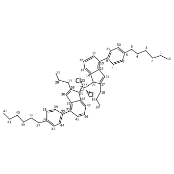 CCCCCCc1ccc(-c2cccc3c2C=C(CCC)[CH]3[Zr]([Cl])([Cl])[CH]2C(CCC)=Cc3c(-c4ccc(CCCCCC)cc4)cccc32)cc1